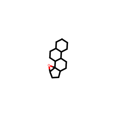 [C]1CCC2C(C1)CCC1C2CCC2CCC3OC231